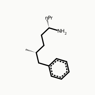 CCC[C@H](N)CC[C@@H](C)Cc1ccccc1